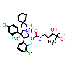 CC1(C[C@@H]2N[C@H](OC(=O)NCC[C@H](O)C(C)(C)O)[C@H](c3cccc(Cl)c3F)[C@@]2(C#N)c2ccc(Cl)cc2F)CCCCC1